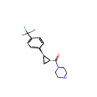 O=C([C@@H]1C[C@H]1c1ccc(C(F)(F)F)cc1)N1CCNCC1